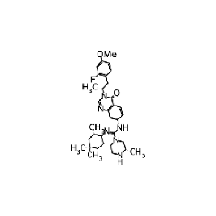 COc1ccc(C[C@@H](C)n2cnc3cc(NC(=NC4CCC(C)(C)C[C@@H]4C)N4CCN[C@@H](C)C4)ccc3c2=O)c(F)c1